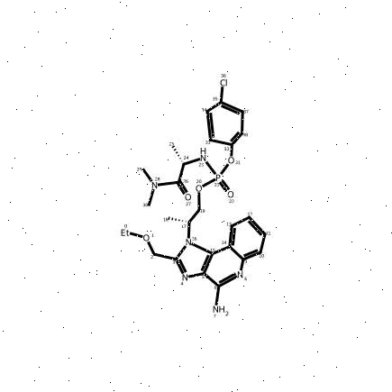 CCOCc1nc2c(N)nc3ccccc3c2n1[C@H](C)COP(=O)(N[C@@H](C)C(=O)N(C)C)Oc1ccc(Cl)cc1